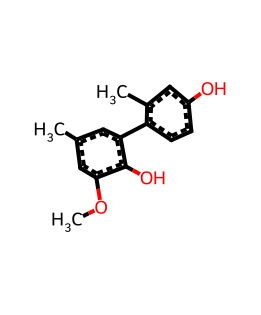 COc1cc(C)cc(-c2ccc(O)cc2C)c1O